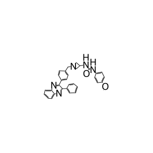 COc1ccc(NC(=O)NC2CN(Cc3ccc(-c4nc5ccccc5nc4-c4ccccc4)cc3)C2)cc1